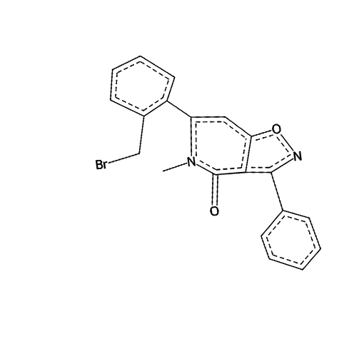 Cn1c(-c2ccccc2CBr)cc2onc(-c3ccccc3)c2c1=O